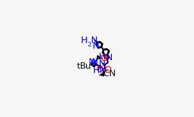 CC(C)(C)c1cc(C(=O)NC(Cc2nc3ccc(-c4ccc(N)nc4)cc3o2)C(=O)NC2(C#N)CC2)n(C2CC2)n1